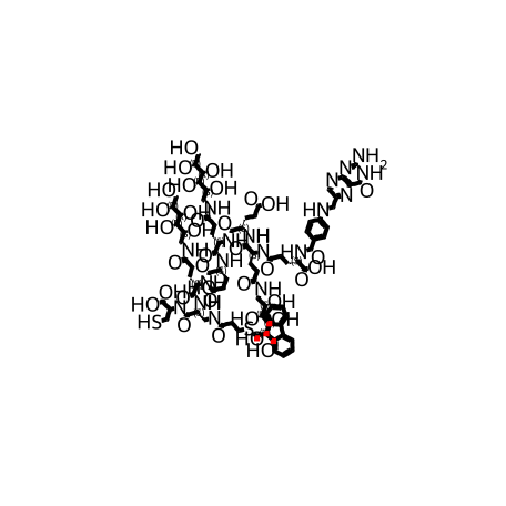 Nc1nc2ncc(CNc3ccc(C(=O)N[C@@H](CCC(=O)N[C@@H](CCC(=O)NC[C@H](O)[C@@H](O)[C@H](O)[C@H](O)CO)C(=O)N[C@@H](CCC(=O)O)C(=O)N[C@@H](CCC(=O)NC[C@H](O)[C@@H](O)[C@H](O)[C@H](O)CO)C(=O)N[C@@H](CCC(=O)O)C(=O)N[C@@H](CCC(=O)NC[C@H](O)[C@@H](O)[C@H](O)[C@H](O)CO)C(=O)N[C@@H](CNC(=O)CCSCC4c5ccccc5-c5ccccc54)C(=O)NC(CS)C(=O)O)C(=O)O)cc3)nc2c(=O)[nH]1